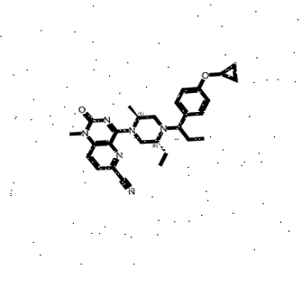 CCC(c1ccc(OC2CC2)cc1)N1C[C@H](C)N(c2nc(=O)n(C)c3ccc(C#N)nc23)C[C@H]1CC